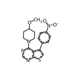 COC1CCN(c2ncnc3scc(-c4ccc([N+](=O)[O-])cc4)c23)CC1